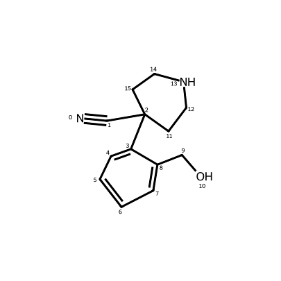 N#CC1(c2ccccc2CO)CCNCC1